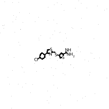 N=C(N)c1cc(SCc2nc(-c3ccc(Cl)cc3)cs2)cs1